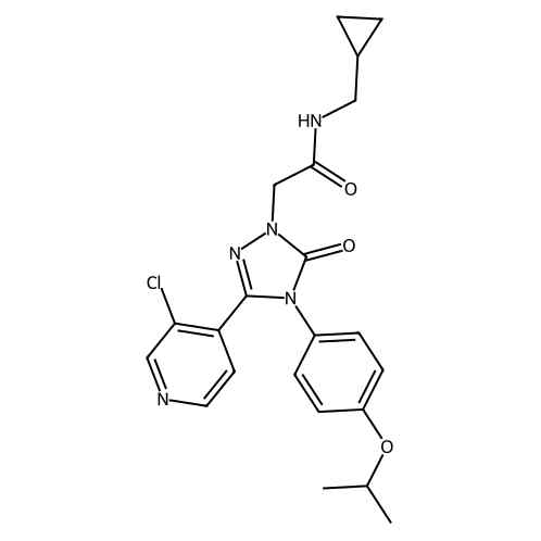 CC(C)Oc1ccc(-n2c(-c3ccncc3Cl)nn(CC(=O)NCC3CC3)c2=O)cc1